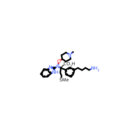 CSCC[C@@](C(=O)O)(c1cccc(CCCCN)c1)N(OC1CCN(C)CC1)c1nc2ccccc2[nH]1